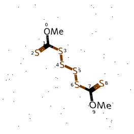 COC(=S)SSSSC(=S)OC